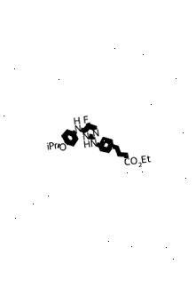 CCOC(=O)CCCc1ccc(Nc2ncc(F)c(Nc3ccc(OC(C)C)cc3)n2)cc1